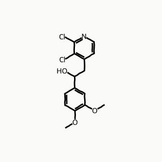 COc1ccc(C(O)Cc2ccnc(Cl)c2Cl)cc1OC